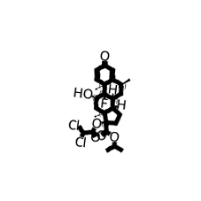 CC(C)OC(=O)[C@@]1(OC(=O)C(Cl)Cl)CC[C@H]2[C@@H]3C[C@H](C)C4=CC(=O)C=C[C@]4(C)[C@@]3(F)[C@@H](O)C[C@@]21C